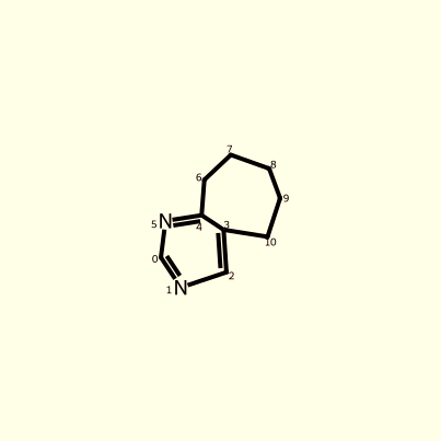 c1ncc2c(n1)CCCCC2